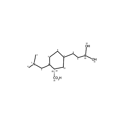 CN(C)CC1CCC(CCB(O)O)C[C@@H]1C(=O)O